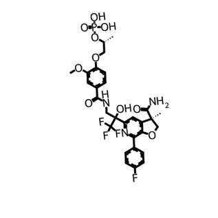 COc1cc(C(=O)NCC(O)(c2cc3c(c(-c4ccc(F)cc4)n2)OC[C@]3(C)C(N)=O)C(F)(F)F)ccc1OC[C@@H](C)OP(=O)(O)O